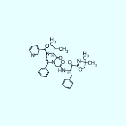 CC(C)[C@@H]1C(=O)N(CC(=O)N[C@@H](Cc2ccccc2)C(=O)C2=NC(C)(C)CO2)C(c2ccccc2)=CN1C(=O)c1cccnc1